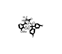 COc1ccnc(C(=O)N[C@@H](C)C(=O)ON(Cl)C(C)(c2ccc(F)cc2)c2ccc(F)cc2)c1OC(C)=O